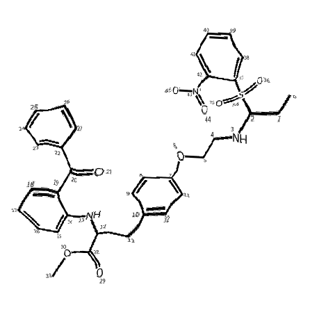 CCC(NCCOc1ccc(CC(Nc2ccccc2C(=O)c2ccccc2)C(=O)OC)cc1)S(=O)(=O)c1ccccc1[N+](=O)[O-]